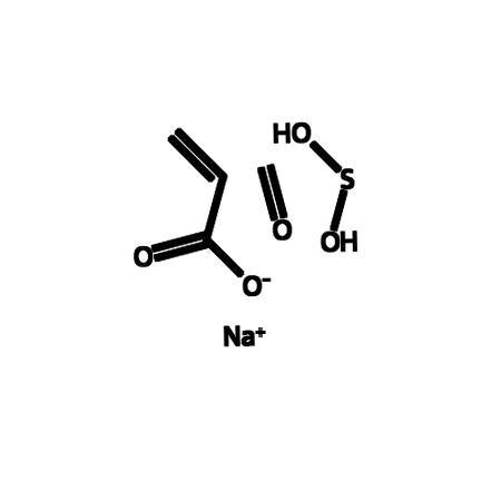 C=CC(=O)[O-].C=O.OSO.[Na+]